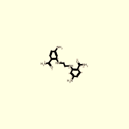 NC(=O)c1ccc(N)cc1NCCNc1cc(N)ccc1C(N)=O